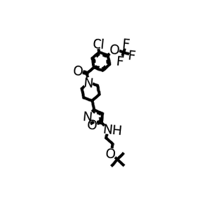 CC(C)(C)OCCNc1cc(C2CCN(C(=O)c3ccc(OC(F)(F)F)c(Cl)c3)CC2)no1